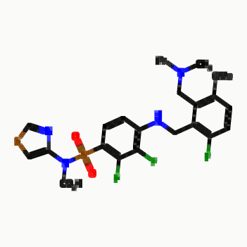 COc1ccc(F)c(CNc2ccc(S(=O)(=O)N(C(=O)O)c3cscn3)c(F)c2F)c1CN(C)C(C)C